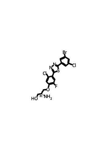 N[C@H](CO)COc1cc(Cl)c(-c2nnc(-c3cc(Cl)cc(Br)c3)s2)cc1F